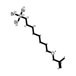 C=C(C)COCCCCCCCC[Si](Br)(Br)Br